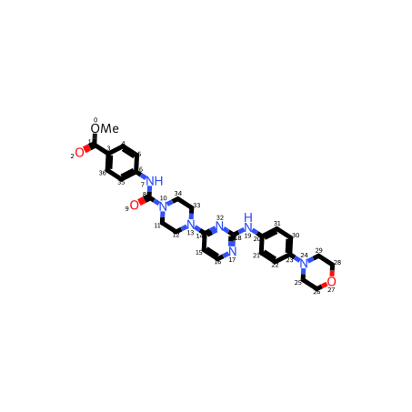 COC(=O)c1ccc(NC(=O)N2CCN(c3ccnc(Nc4ccc(N5CCOCC5)cc4)n3)CC2)cc1